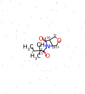 CCC(C)(C)C(=O)N1C(=O)C2COCC21